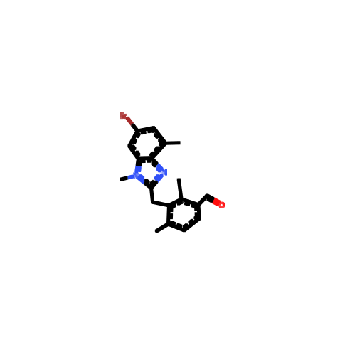 Cc1ccc(C=O)c(C)c1Cc1nc2c(C)cc(Br)cc2n1C